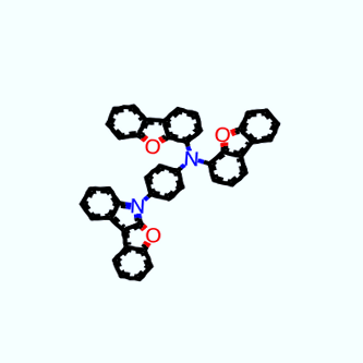 c1ccc2c(c1)oc1c(N(c3ccc(-n4c5ccccc5c5c6ccccc6oc54)cc3)c3cccc4c3oc3ccccc34)cccc12